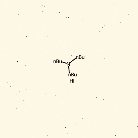 CCCCN(CCCC)CCCC.I